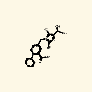 CCCc1nc(C(O)C(C)(C)C)c(C#N)n1Cc1ccc(-c2ccccc2)c(C(=O)C(C)=O)c1